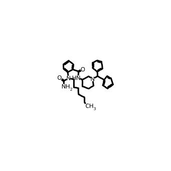 CCCCCCCN(C(N)=O)c1ccccc1C(=O)NC1CCCN(C(c2ccccc2)c2ccccc2)C1